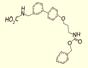 O=C(O)NCc1cccc(-c2ccc(OCCCNC(=O)OCc3ccccc3)cc2)c1